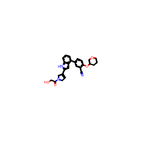 N#Cc1cc(-c2cccc3[nH]c(C4=CCN(C(=O)CO)C4)cc23)ccc1OC1CCCOC1